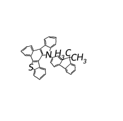 CC1(C)c2ccccc2-c2ccc(-n3c4ccccc4c4c5ccccc5c5sc6ccccc6c5c43)cc21